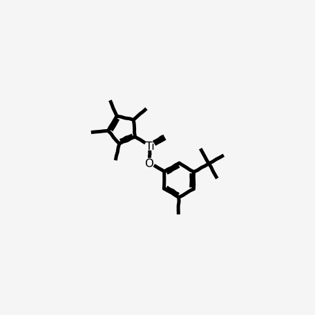 [CH2]=[Ti]([O]c1cc(C)cc(C(C)(C)C)c1)[C]1=C(C)C(C)=C(C)C1C